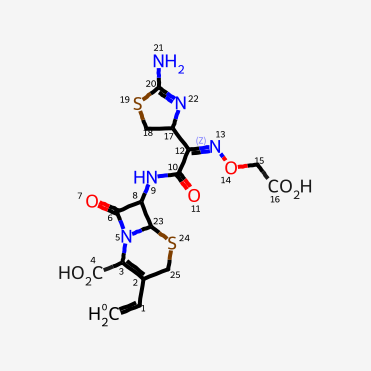 C=CC1=C(C(=O)O)N2C(=O)C(NC(=O)/C(=N\OCC(=O)O)C3CSC(N)=N3)C2SC1